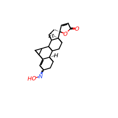 CC[C@]12CCC3C(C4CC4C4=CC(=NO)CC[C@@H]43)C1CC[C@@]21C=CC(=O)O1